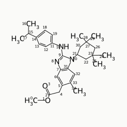 COC(=O)Cc1cc2nc(Nc3ccc(C(C)C)cc3)n(C3CC(C)(C)CC(C)(C)C3)c2cc1C